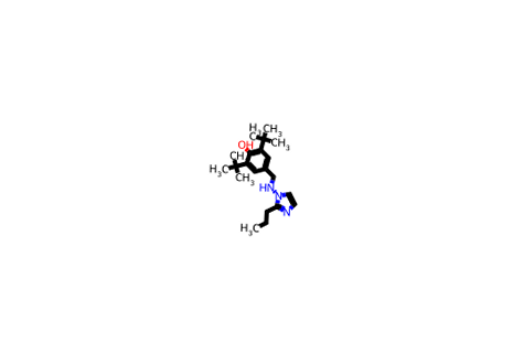 CCCc1nccn1NCc1cc(C(C)(C)C)c(O)c(C(C)(C)C)c1